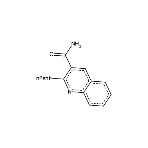 CCCCCc1nc2ccccc2cc1C(N)=O